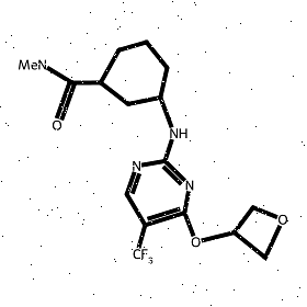 CNC(=O)C1CCCC(Nc2ncc(C(F)(F)F)c(OC3COC3)n2)C1